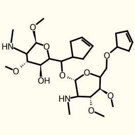 CNC1[C@@H](OC)OC(C(O[C@@H]2OC(COC3CC=CC3)[C@@H](OC)[C@H](OC)C2NC)C2CC=CC2)[C@@H](O)[C@@H]1OC